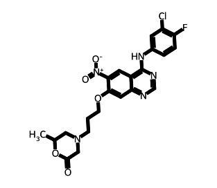 CC1CN(CCCOc2cc3ncnc(Nc4ccc(F)c(Cl)c4)c3cc2[N+](=O)[O-])CC(=O)O1